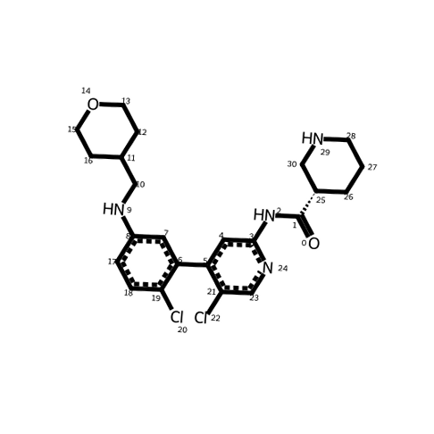 O=C(Nc1cc(-c2cc(NCC3CCOCC3)ccc2Cl)c(Cl)cn1)[C@H]1CCCNC1